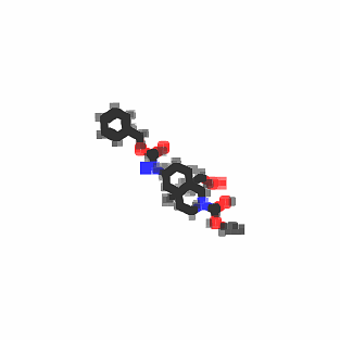 CC(C)(C)OC(=O)N1CC[C@H]2C[C@@H](NC(=O)OCc3ccccc3)CC[C@]2(CO)C1